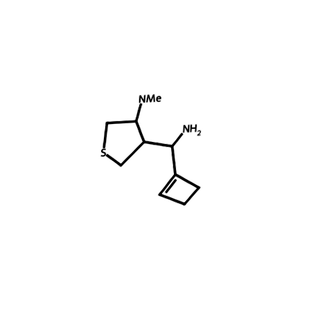 CNC1CSCC1C(N)C1=CCC1